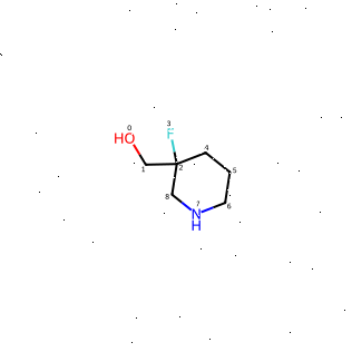 OCC1(F)CCCNC1